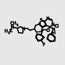 CN(C)C1CCN(CCC2CCc3c(sc4c3C(Nc3ccccc3)(OCc3cccc(F)c3)N(Cl)C=N4)C2)C1